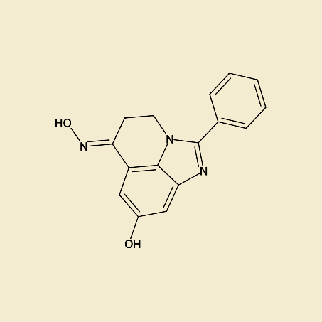 ON=C1CCn2c(-c3ccccc3)nc3cc(O)cc1c32